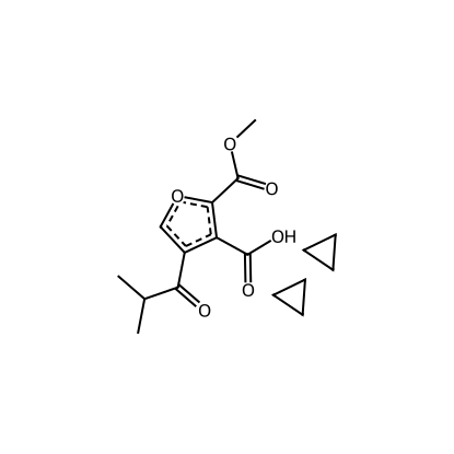 C1CC1.C1CC1.COC(=O)c1occ(C(=O)C(C)C)c1C(=O)O